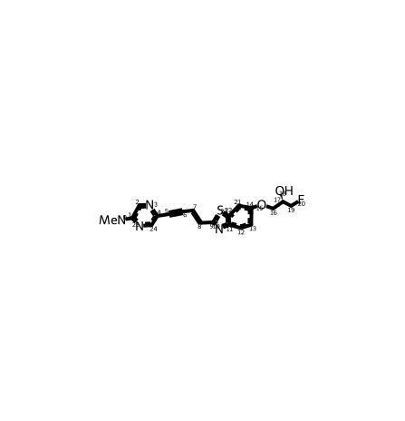 CNc1cnc(C#C/C=C/c2nc3ccc(OC[C@H](O)CF)cc3s2)cn1